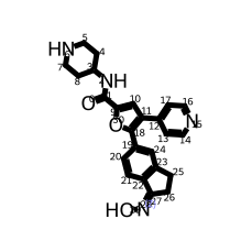 O=C(NC1CCNCC1)c1cc(-c2ccncc2)c(-c2ccc3c(c2)CC/C3=N/O)o1